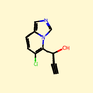 C#CC(O)c1c(Cl)ccc2cncn12